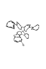 Brc1ccc2sc3ccc4c(c3c2c1)-c1ccccc1C41c2cc(-c3ccccc3)ccc2-c2ccc(-c3ccccc3)cc21